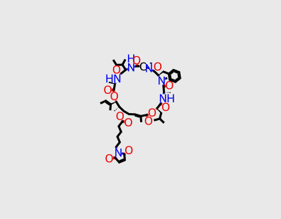 C/C=C(\C)[C@H]1OC(=O)[C@@H](C)NC(=O)C(C(C)CC)NC(=O)CN(C)C(=O)[C@@H](Cc2ccccc2)N(C)C(=O)[C@H](C)NC(=O)[C@@H](CC(C)C)OC(=O)/C(C)=C/C[C@H](OC(=O)CCCCCN2C(=O)C=CC2=O)[C@@H]1C